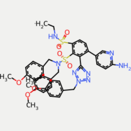 [CH2]CNS(=O)(=O)c1ccc(-c2ccc(N)nc2)c(-c2nnn(Cc3ccc(OC)cc3)n2)c1S(=O)(=O)N(Cc1ccc(OC)cc1)Cc1ccc(OC)cc1